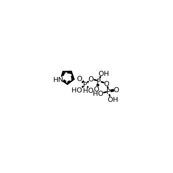 O=P(O)(O)OP(=O)(O)OP(=O)(O)O.c1cc[nH]c1